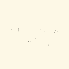 CCCCCCCOCOC(OC)=C(CCC)OC